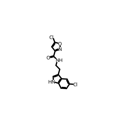 O=C(NCCc1c[nH]c2ccc(Cl)cc12)c1cc(Cl)on1